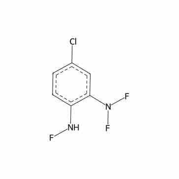 FNc1ccc(Cl)cc1N(F)F